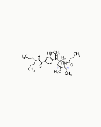 C=C(/N=C(C)\C(=C/C)NC(=O)CCC)Nc1ccc(C(=S)NC(CCC)CCC)cc1BC